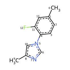 Cc1ccc(-n2cnc(C)c2)c(F)c1